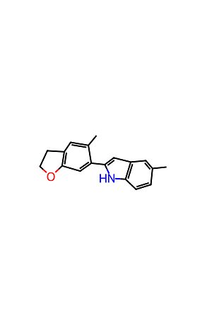 Cc1ccc2[nH]c(-c3cc4c(cc3C)CCO4)cc2c1